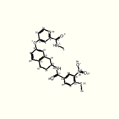 CNC(=O)c1cc(Oc2ccc3c(c2)CC(NC(=O)c2ccc(SC)c([N+](=O)[O-])c2)CC3)ccn1